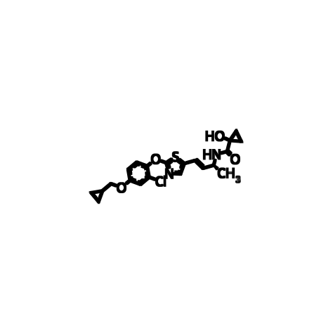 C[C@@H](/C=C/c1cnc(Oc2ccc(OCC3CC3)cc2Cl)s1)NC(=O)C1(O)CC1